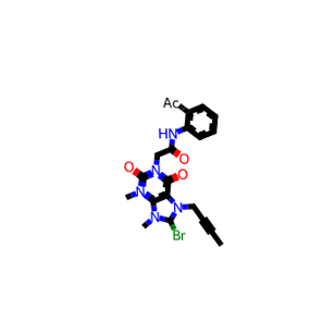 CC#CCN1c2c(n(C)c(=O)n(CC(=O)Nc3ccccc3C(C)=O)c2=O)N(C)C1Br